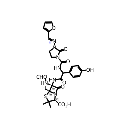 CC1(C)S[C@H]2N(C(=O)[C@@]2(NC=O)NC(=O)C(NC(=O)N2CCN(/N=C/c3ccco3)C2=O)c2ccc(O)cc2)[C@H]1C(=O)O